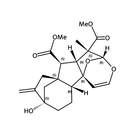 C=C1C[C@]23C[C@@]1(O)CC[C@H]2[C@@]12C=CO[C@H](O1)[C@@](C)(C(=O)OC)[C@H]2[C@@H]3C(=O)OC